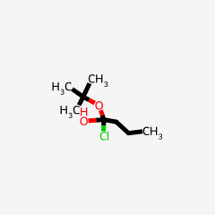 CCCC(O)(Cl)OC(C)(C)C